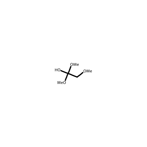 COCC(O)(OC)OC